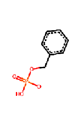 [O]P(=O)(O)OCc1ccccc1